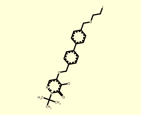 CC(C)(C)n1ncc(OCc2ccc(-c3ccc(COCCI)cc3)cc2)c(Cl)c1=O